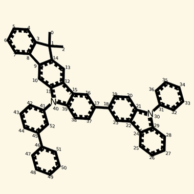 CC1(C)c2ccccc2-c2cc3c(cc21)c1cc(-c2ccc4c(c2)c2ccccc2n4-c2ccccc2)ccc1n3-c1cccc(-c2ccccc2)c1